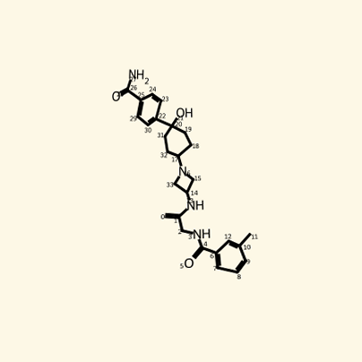 C=C(CNC(=O)c1cccc(C)c1)NC1CN(C2CCC(O)(c3ccc(C(N)=O)cc3)CC2)C1